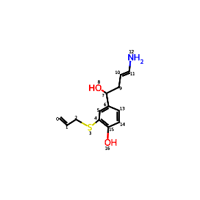 C=CCSc1cc(C(O)CC=CN)ccc1O